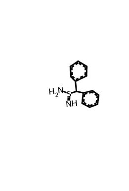 N=S(N)C(c1ccccc1)c1ccccc1